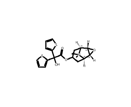 C[N+]1(C)[C@@H]2CC(OC(=O)C(O)(c3cccs3)c3cccs3)C[C@H]1[C@@H]1O[C@@H]12